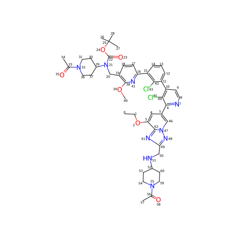 CCOc1cc(-c2nccc(-c3cccc(-c4ccc(CN(C(=O)OC(C)(C)C)C5CCN(C(C)=O)CC5)c(OC)n4)c3Cl)c2Cl)cn2nc(CNC3CCN(C(C)=O)CC3)nc12